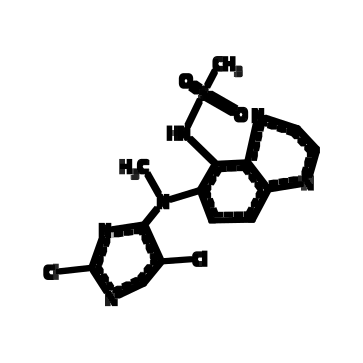 CN(c1ccc2nccnc2c1NS(C)(=O)=O)c1nc(Cl)ncc1Cl